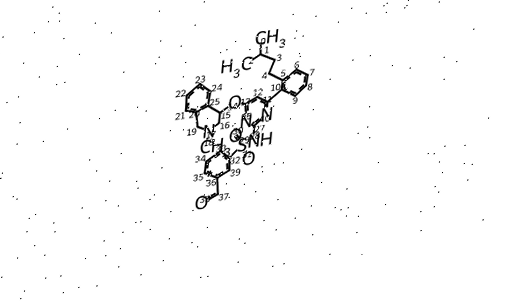 CC(C)CCc1ccccc1-c1cc(OC2CN(C)Cc3ccccc32)nc(NS(=O)(=O)c2cccc(C=O)c2)n1